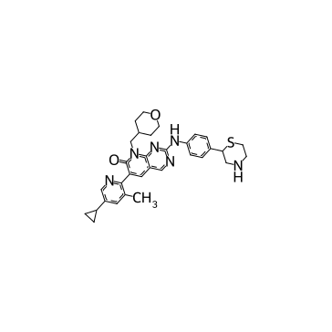 Cc1cc(C2CC2)cnc1-c1cc2cnc(Nc3ccc(C4CNCCS4)cc3)nc2n(CC2CCOCC2)c1=O